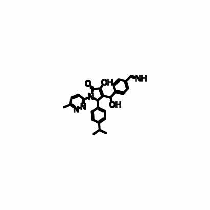 Cc1ccc(N2C(=O)C(O)=C(C(O)c3ccc(C=N)cc3)C2c2ccc(C(C)C)cc2)nn1